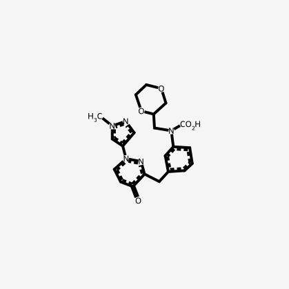 Cn1cc(-n2ccc(=O)c(Cc3cccc(N(CC4COCCO4)C(=O)O)c3)n2)cn1